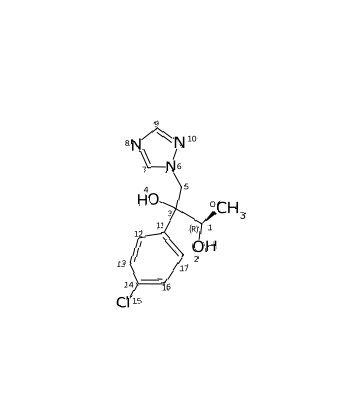 C[C@@H](O)C(O)(Cn1cncn1)c1ccc(Cl)cc1